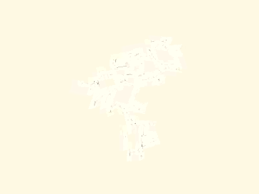 CN1Cc2cc(N3CCOCC3)ccc2C(O)(c2ccc3ccccc3c2)C1